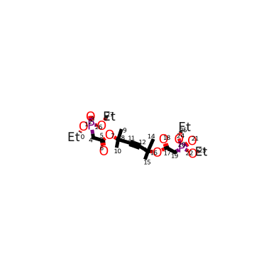 CCOP(=O)(CC(=O)OC(C)(C)C#CC(C)(C)OC(=O)CP(=O)(OCC)OCC)OCC